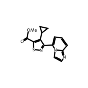 COC(=O)c1snc(-c2cccc3nccn23)c1C1CC1